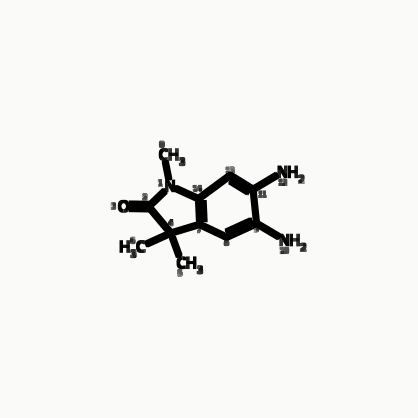 CN1C(=O)C(C)(C)c2cc(N)c(N)cc21